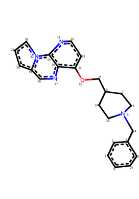 c1ccc(CN2CCC(COc3ccnc4c3ncc3cccn34)CC2)cc1